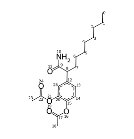 CCCCCCCCC(C(N)=O)c1ccc(OC(C)=O)c(OC(C)=O)c1